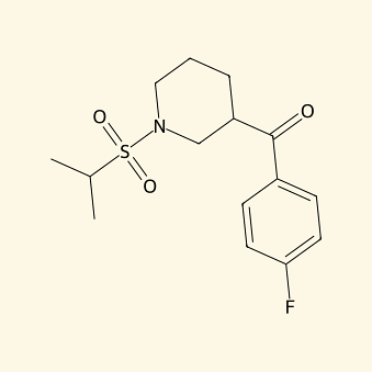 CC(C)S(=O)(=O)N1CCCC(C(=O)c2ccc(F)cc2)C1